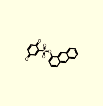 O=C1C=CC(=O)C(S(=O)(=O)Oc2cccc3cc4ccccc4cc23)=C1